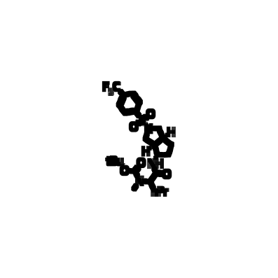 CCCC(C(=O)N[C@H]1CC[C@@H]2CN(S(=O)(=O)c3ccc(C(F)(F)F)cc3)C[C@@H]21)N(C)C(=O)OC(C)(C)C